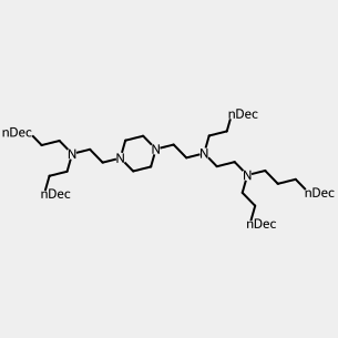 CCCCCCCCCCCCCN(CCCCCCCCCCCC)CCN(CCCCCCCCCCCC)CCN1CCN(CCN(CCCCCCCCCCCC)CCCCCCCCCCCC)CC1